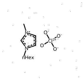 CCCCCCn1cc[n+](C)c1.[O-][Cl+3]([O-])([O-])[O-]